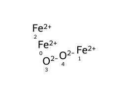 [Fe+2].[Fe+2].[Fe+2].[O-2].[O-2]